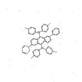 Cc1ccc(N(c2ccc(C)cc2)c2c3ccc(C4C=CC=CC4)cc3c(N(c3ccc(C)cc3)c3ccc(C)cc3)c3ccc(-c4ccccc4)cc23)cc1